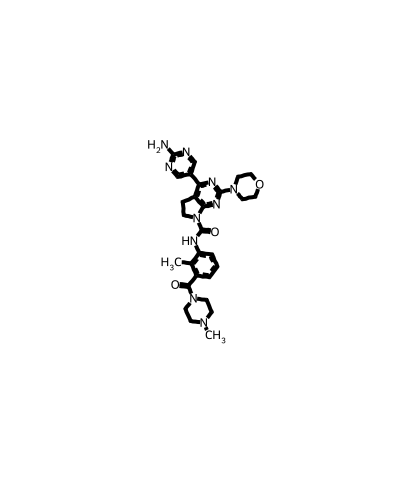 Cc1c(NC(=O)N2CCc3c(-c4cnc(N)nc4)nc(N4CCOCC4)nc32)cccc1C(=O)N1CCN(C)CC1